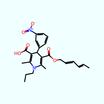 CC=CC=CCOC(=O)C1=C(C)N(CCC)C(C)=C(C(=O)O)C1c1cccc([N+](=O)[O-])c1